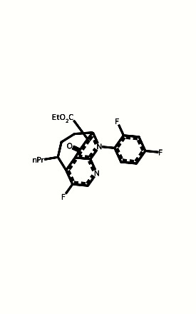 CCCC1CCc2c(C(=O)OCC)c(=O)c3c1c(F)cnc3n2-c1ccc(F)cc1F